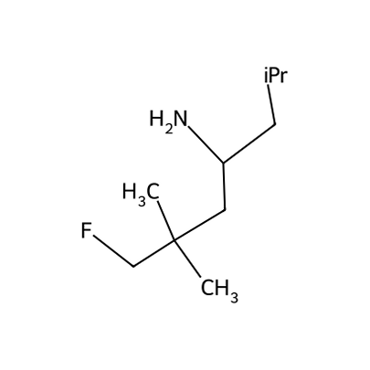 CC(C)CC(N)CC(C)(C)CF